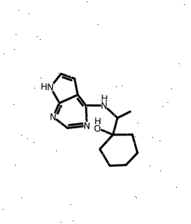 CC(Nc1ncnc2[nH]ccc12)C1(O)CCCCC1